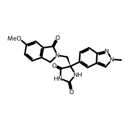 COc1ccc2c(c1)C(=O)N(C[C@@]1(c3ccc4nn(C)cc4c3)NC(=O)NC1=O)C2